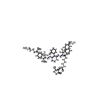 CCCCC1=C(/C=C/C2=C(c3ccccc3F)C(=C/C=C3/N(CCCCCC(=O)ON4C(=O)CCC4=O)c4ccc5cc(S(=O)(=O)O)ccc5c4C3(C)C)/CCC2)C(C)(C)c2cc(N(CCC)CCCS(=O)(=O)O)ccc21